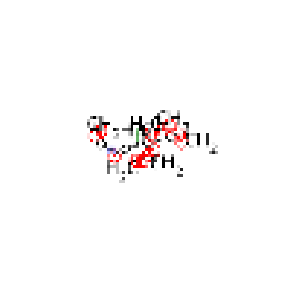 C=CC(=O)OC#Cc1c(C#Cc2ccc(C(=O)/C=C/c3ccc(OC(=O)C=C)cc3)cc2)c(F)c(OC)c(C#Cc2ccc(OC(=O)C=C)cc2OC(=O)C(=C)C)c1OC(=O)C=C